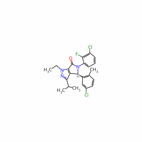 CCn1nc(C(C)C)c2c1C(=O)N(c1cccc(Cl)c1F)[C@H]2c1cc(Cl)ccc1C